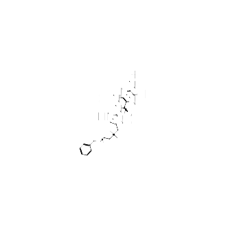 CC(C)(CCOCc1ccccc1)CC1CN/C(=N/C(=O)c2nc(Cl)c(N)nc2N)N1